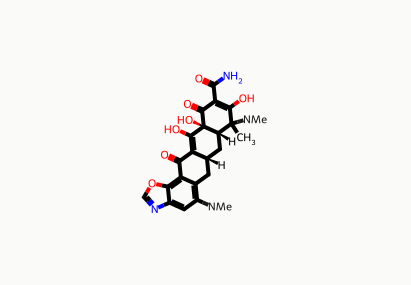 CNc1cc2ncoc2c2c1C[C@H]1C[C@H]3C(C)(NC)C(O)=C(C(N)=O)C(=O)[C@@]3(O)C(O)=C1C2=O